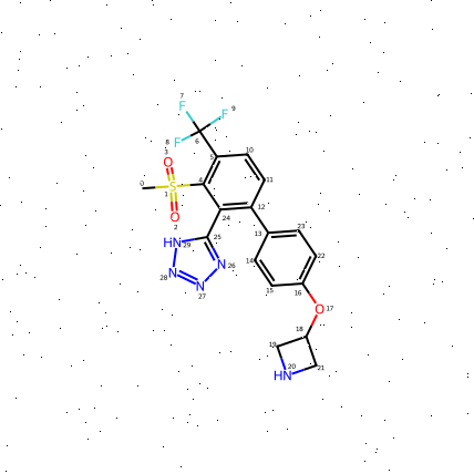 CS(=O)(=O)c1c(C(F)(F)F)ccc(-c2ccc(OC3CNC3)cc2)c1-c1nnn[nH]1